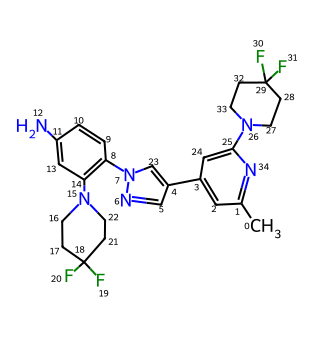 Cc1cc(-c2cnn(-c3ccc(N)cc3N3CCC(F)(F)CC3)c2)cc(N2CCC(F)(F)CC2)n1